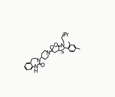 Cc1ccc(C2SC(CC(=O)N3CCC(N4CCc5ccccc5NC4=O)CC3)C(=O)N2CCC(C)C)c(C)c1